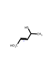 CC(S)/C=C/C(=O)O